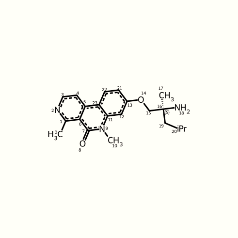 Cc1nccc2c1c(=O)n(C)c1cc(OC[C@@](C)(N)CC(C)C)ccc21